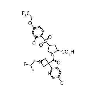 O=C(O)C1CC(S(=O)(=O)c2ccc(OCC(F)(F)F)cc2Cl)CN1C(=O)C1(c2ccc(Cl)cn2)CN(CC(F)F)C1